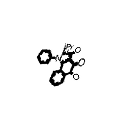 CC(C)n1c(=O)c2c(n1-c1ccccc1)-c1ccccc1C(=O)C2=O